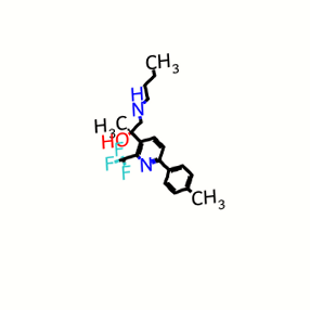 CCCCNC[C@](C)(O)c1ccc(-c2ccc(C)cc2)nc1C(F)(F)F